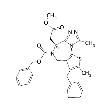 COC(=O)C[C@H]1c2nnc(C)n2-c2sc(C)c(Cc3ccccc3)c2CN1C(=O)OCc1ccccc1